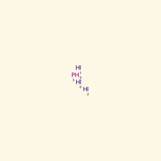 I.I.I.P